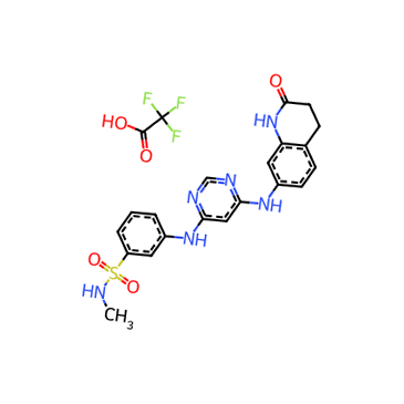 CNS(=O)(=O)c1cccc(Nc2cc(Nc3ccc4c(c3)NC(=O)CC4)ncn2)c1.O=C(O)C(F)(F)F